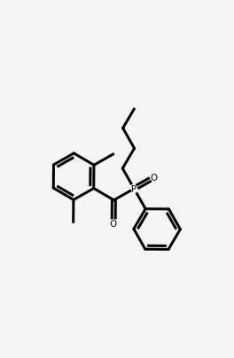 CCCCP(=O)(C(=O)c1c(C)cccc1C)c1ccccc1